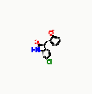 COc1ccccc1C=C1C(=O)Nc2cc(Cl)ccc21